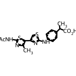 CC(=O)Nc1nc(C)c(-c2csc(Nc3ccc(C(C)C(=O)O)cc3)n2)s1